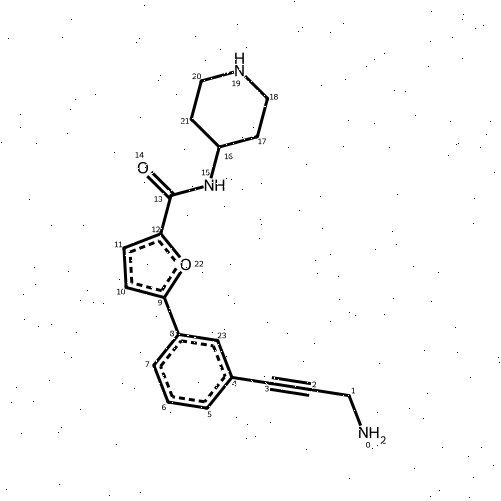 NCC#Cc1cccc(-c2ccc(C(=O)NC3CCNCC3)o2)c1